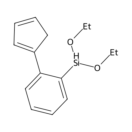 CCO[SiH](OCC)c1ccccc1C1=CC=CC1